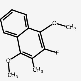 COc1c(C)c(F)c(OC)c2ccccc12